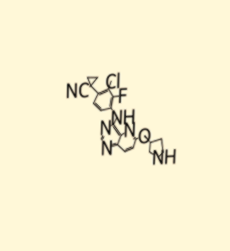 N#CC1(c2ccc(Nc3ncnc4ccc(O[C@H]5CCNC5)nc34)c(F)c2Cl)CC1